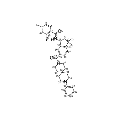 Cc1ccc(C(=O)NC2CC(C)(C)c3ccc(C(=O)N4CCC5(CC4)CCN(c4ccncc4)CC5)cc32)c(F)c1